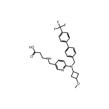 COC1CC(N(Cc2ccc(-c3ccc(C(F)(F)F)cc3)cc2)c2ccc(CNCCC(=O)O)cn2)C1